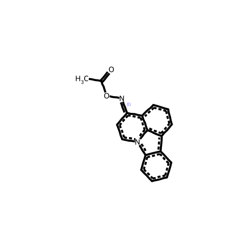 CC(=O)O/N=c1\ccn2c3ccccc3c3cccc1c32